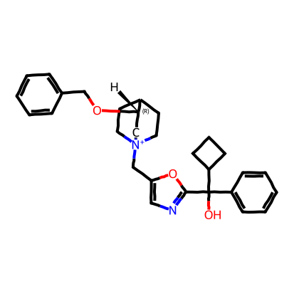 OC(c1ccccc1)(c1ncc(C[N+]23CCC(CC2)[C@@H](OCc2ccccc2)C3)o1)C1CCC1